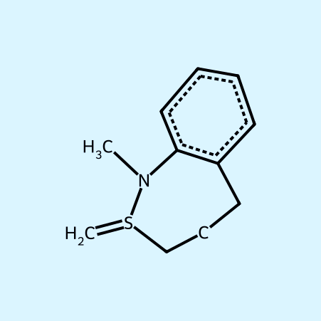 C=S1CCCc2ccccc2N1C